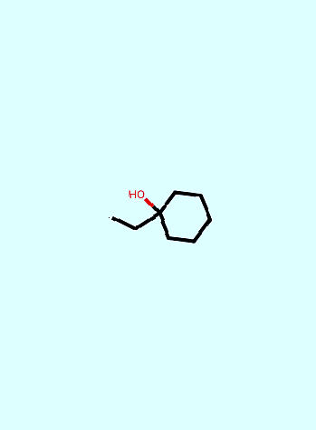 [CH2]CC1(O)CCCCC1